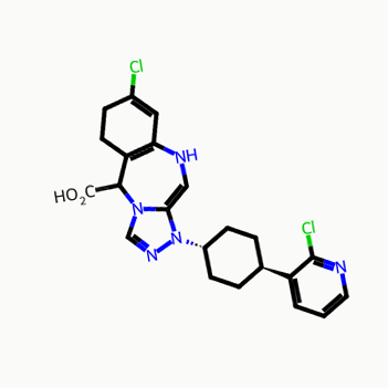 O=C(O)C1C2=C(C=C(Cl)CC2)NC=C2N1C=NN2[C@H]1CC[C@H](c2cccnc2Cl)CC1